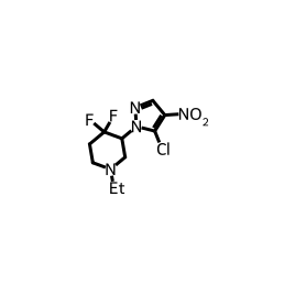 CCN1CCC(F)(F)C(n2ncc([N+](=O)[O-])c2Cl)C1